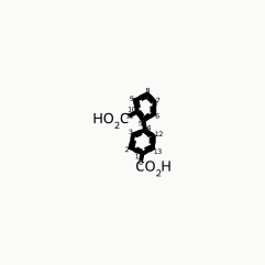 O=C(O)c1ccc(-c2ccccc2C(=O)O)cc1